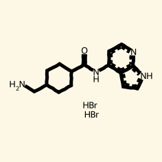 Br.Br.NCC1CCC(C(=O)Nc2ccnc3[nH]ccc23)CC1